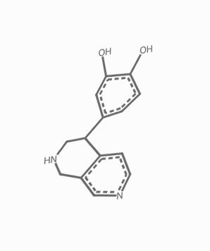 Oc1ccc(C2CNCc3cnccc32)cc1O